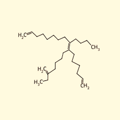 C=CCCCCCCC(CCCC)=C(CCCCC=C)CCCCC(=C)CC